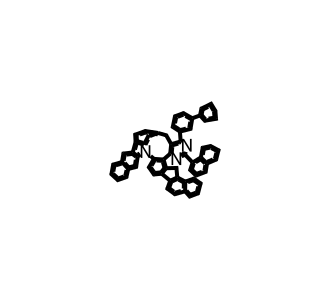 c1ccc(-c2cccc(-c3nc(-c4cccc5ccccc45)nc4c3Cc3ccc5c6cc7ccccc7cc6n(c5c3)-c3ccc5c(c3-4)Cc3c-5ccc4ccccc34)c2)cc1